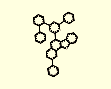 c1ccc(-c2ccc3cc(-c4nc(-c5ccccc5)nc(-c5ccccc5-c5ccccc5)n4)c4c5ccccc5oc4c3c2)cc1